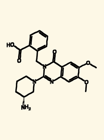 COc1cc2nc(N3CCC[C@@H](N)C3)n(Cc3ccccc3C(=O)O)c(=O)c2cc1OC